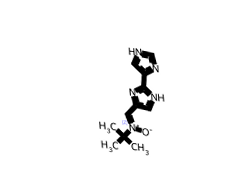 CC(C)(C)/[N+]([O-])=C/c1c[nH]c(-c2c[nH]cn2)n1